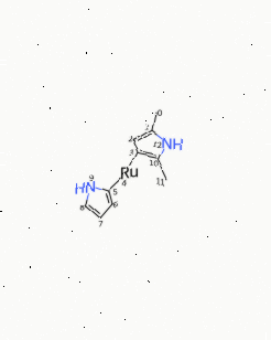 Cc1c[c]([Ru][c]2ccc[nH]2)c(C)[nH]1